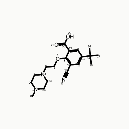 CN1CCN(CCOc2c(C#N)cc(C(C)(C)C)cc2C(=O)O)CC1